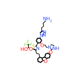 NCCCCc1cn(-c2ccc(-c3nc(CCc4cccc5oc6ccccc6c45)cs3)c(OCCN3CCNC3=O)c2)nn1.O=C(O)C(F)(F)F